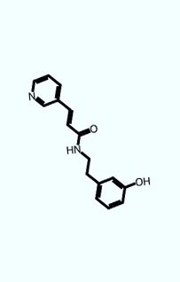 O=C(/C=C/c1cccnc1)NCCc1cccc(O)c1